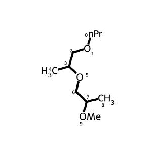 CCCOCC(C)OCC(C)OC